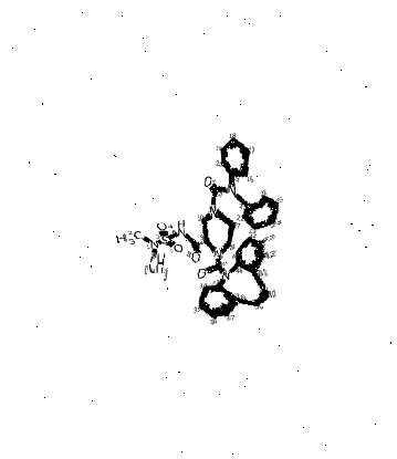 CN(C)S(=O)(=O)NC(=O)[C@@H]1CN(C(=O)N(c2ccccc2)c2ccccc2)CCN1C(=O)N1c2ccccc2C=Cc2ccccc21